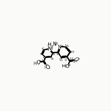 N.O=C(O)c1ccnc(-c2cc(C(=O)O)ccn2)c1